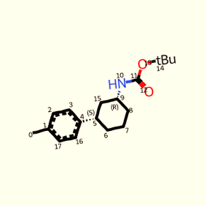 Cc1ccc([C@H]2CCC[C@@H](NC(=O)OC(C)(C)C)C2)cc1